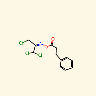 O=C(CCc1ccccc1)ON=C(CCl)C(Cl)Cl